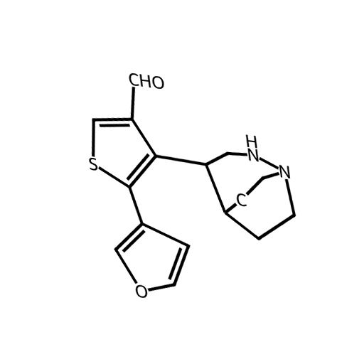 O=Cc1csc(-c2ccoc2)c1C1CNN2CCC1CC2